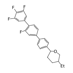 CCC1CCC(c2ccc(-c3ccc(-c4cc(F)c(F)c(F)c4)c(F)c3)cc2)OC1